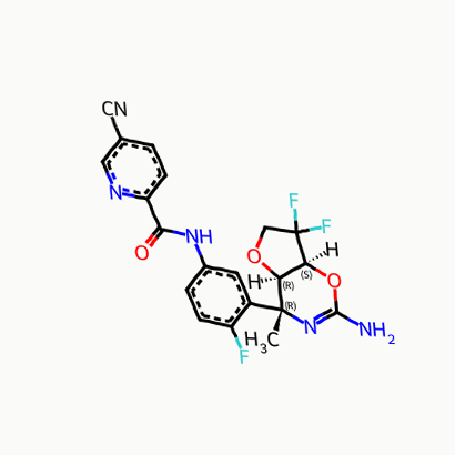 C[C@]1(c2cc(NC(=O)c3ccc(C#N)cn3)ccc2F)N=C(N)O[C@H]2[C@@H]1OCC2(F)F